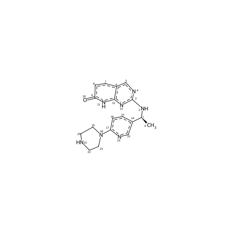 C[C@H](Nc1ncc2ccc(=O)[nH]c2n1)c1ccc(N2CCNCC2)nc1